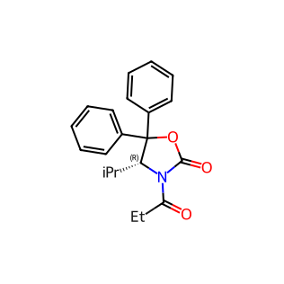 CCC(=O)N1C(=O)OC(c2ccccc2)(c2ccccc2)[C@H]1C(C)C